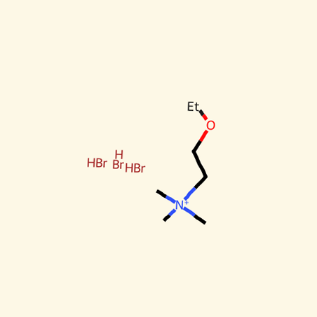 Br.Br.Br.CCOCC[N+](C)(C)C